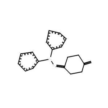 O=C1CCC(=NN(c2ccccc2)c2ccccc2)CC1